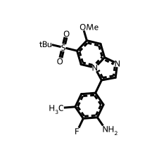 COc1cc2ncc(-c3cc(C)c(F)c(N)c3)n2cc1S(=O)(=O)C(C)(C)C